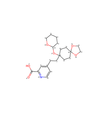 O=C(O)c1cc(CCC2(OC3CCCCO3)CCC3(CC2)OCCO3)ccn1